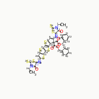 CCN1C(=O)/C(=N/C2=Cc3sc4c(sc5c6sc(/N=C7\SC(=S)N(CC)C7=O)cc6sc45)c3C2(C(=O)OCc2ccccc2)C(=O)OCc2ccccc2)SC1=S